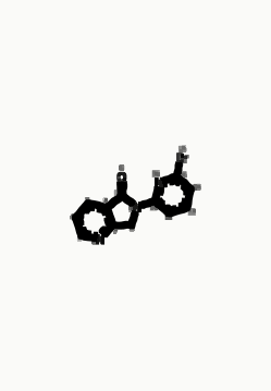 O=C1c2cccnc2CN1c1cccc(Br)n1